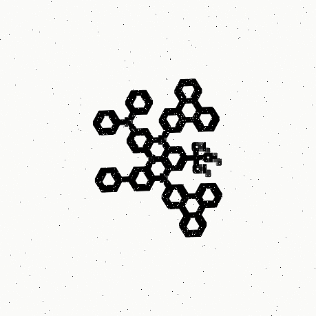 CC(C)(C)c1cc2c3c(c1)N(c1ccc4c5ccccc5c5ccccc5c4c1)c1cc(N(c4ccccc4)c4ccccc4)ccc1B3c1cc(-c3ccccc3)ccc1N2c1ccc2c3ccccc3c3ccccc3c2c1